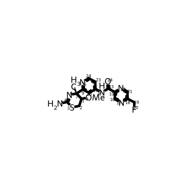 COC1CSC(N)=N[C@]1(C)c1cc(NC(=O)c2cnc(CF)cn2)ccn1